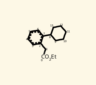 CCOC(=O)Cc1ccc[c]c1C1CCCCC1